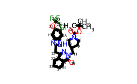 CC(C)(C)OC(=O)N1CCC(Cn2nc(Cc3nc4cc(OC(F)(F)F)c(Cl)cc4[nH]3)c3ccccc3c2=O)CC1